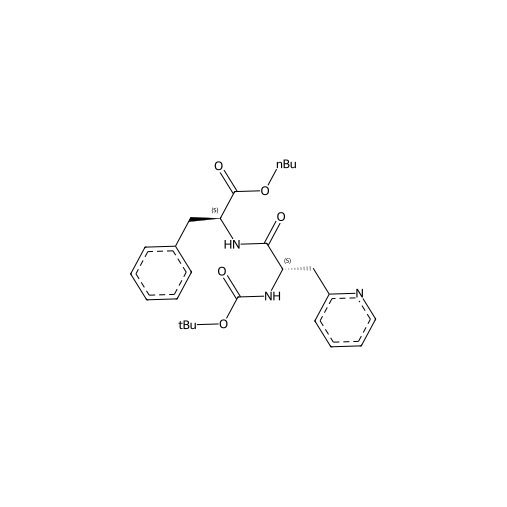 CCCCOC(=O)[C@H](Cc1ccccc1)NC(=O)[C@H](Cc1ccccn1)NC(=O)OC(C)(C)C